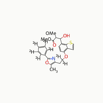 [2H]c1c([2H])c([2H])c(-c2nc(CC([2H])([2H])Oc3ccc(C(O)C(OC)C(=O)OC)c4sccc34)c(C)o2)c([2H])c1[2H]